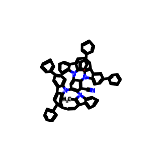 Cc1c2c3ccccc3n1-c1c(cc(-n3c4ccccc4c4ccccc43)c(-n3c4ccc(-c5ccccc5)cc4c4cc(-c5ccccc5)ccc43)c1C#N)-n1c3ccc(-c4ccccc4)cc3c3cc(-c4ccccc4)c(cc31)/C=C\2